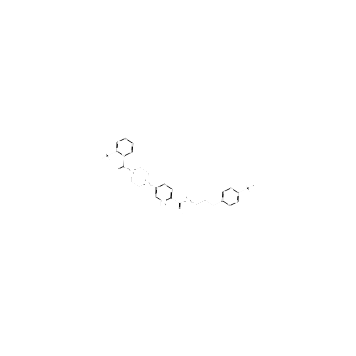 O=C(NCCCc1ccc(C(F)(F)F)cc1)c1ccc(N2CCN(C(=O)c3ccccc3C(F)(F)F)CC2)cn1